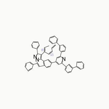 C=C/C=C\C(=C/C)c1c(-c2ccccc2)nn2c(-c3ccccc3)cc3ccc(-c4cc(-c5cccc(-c6ccccc6)c5)nc(-c5cccc(-c6ccccc6)c5)c4)cc3c12